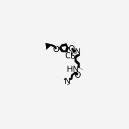 C[C@@H](/C=C/c1cnc(Oc2ccc(OCC3CC3)cc2Cl)s1)NC(=O)CCN(C)C